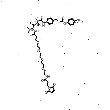 CC(C)[C@H](NC(=O)CCOCCOCCOCCOCCNC(=O)CCN1C(=O)C=CC1=O)C(=O)N[C@@H](C)C(=O)Nc1ccc(COC(=O)Oc2ccc(N)cc2)cc1